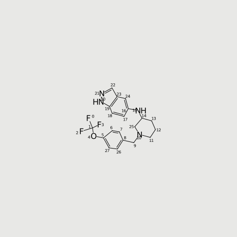 FC(F)(F)Oc1ccc(CN2CCCC(Nc3ccc4[nH]ncc4c3)C2)cc1